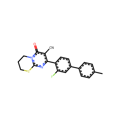 Cc1ccc(-c2ccc(-c3nc4n(c(=O)c3C#N)CCCS4)c(F)c2)cc1